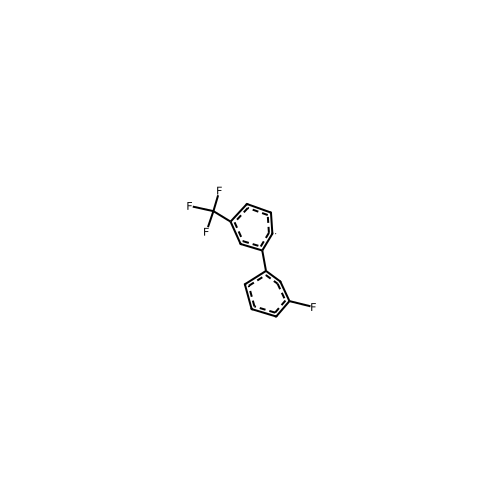 Fc1cccc(-c2[c]ccc(C(F)(F)F)c2)c1